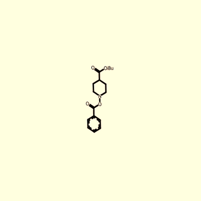 CC(C)COC(=O)C1CCN(OC(=O)c2ccccc2)CC1